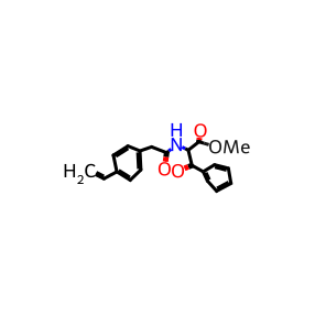 C=Cc1ccc(CC(=O)NC(C(=O)OC)C(=O)c2ccccc2)cc1